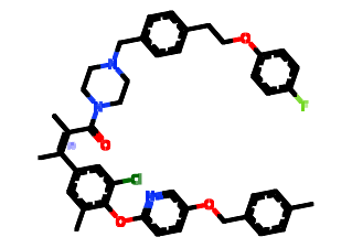 C/C(C(=O)N1CCN(Cc2ccc(CCOc3ccc(F)cc3)cc2)CC1)=C(\C)c1cc(C)c(Oc2ccc(OCc3ccc(C)cc3)cn2)c(Cl)c1